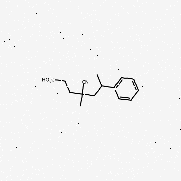 CC(CC(C)(C#N)CCC(=O)O)c1ccccc1